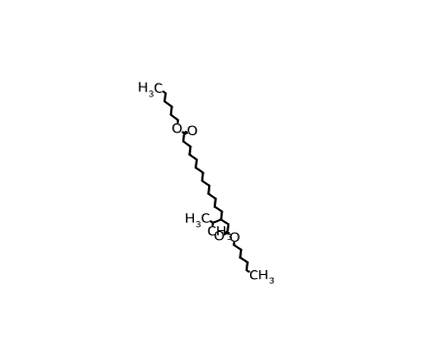 CCCCCCOC(=O)CCCCCCCCCCCCC(CC(=O)OCCCCCC)C(C)C